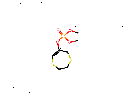 COP(=O)(OC)OC1=CSCCSC1